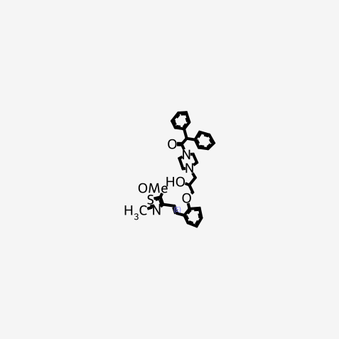 COc1sc(C)nc1/C=C/c1ccccc1OCC(O)CN1CCN(C(=O)C(c2ccccc2)c2ccccc2)CC1